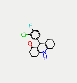 O=C1CCCC2=C1C(c1ccc(F)c(Cl)c1)C1=C(CCCC1)N2